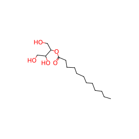 CCCCCCCCCCCC(=O)OC(CO)C(O)CO